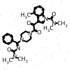 Cc1cccc2c1c(C(=O)C(=O)N1CCN(/C(=N/C(=O)N(C)C)c3ccccc3)CC1)cn2C(=O)N(C)C